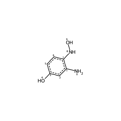 Nc1cc(O)ccc1NO